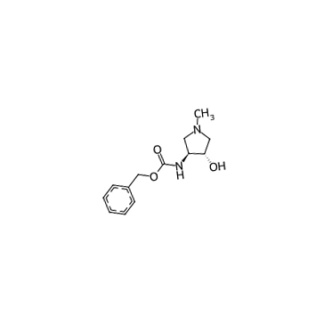 CN1C[C@H](NC(=O)OCc2ccccc2)[C@@H](O)C1